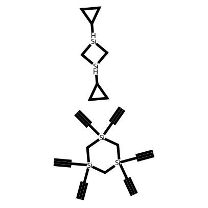 C#C[Si]1(C#C)C[Si](C#C)(C#C)C[Si](C#C)(C#C)C1.C1CC1[SiH]1C[SiH](C2CC2)C1